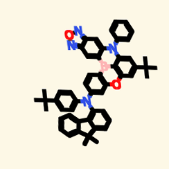 CC(C)(C)c1ccc(N(c2ccc3c(c2)Oc2cc(C(C)(C)C)cc4c2B3c2cc3nonc3cc2N4c2ccccc2)c2cccc3c2-c2ccccc2C3(C)C)cc1